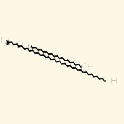 CCCCCCCCCCCCCCCCCCCCC.CCCCCCCCCCCCCCCCCCCCCCCCCCCCCCCCCCCCCC(=O)O